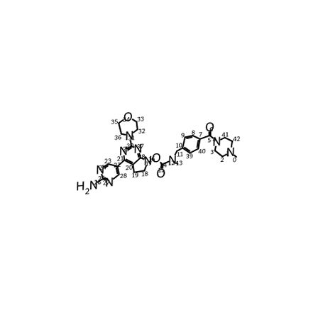 CN1CCN(C(=O)c2ccc(CN(C)C(=O)ON3CCc4c(-c5cnc(N)nc5)nc(N5CCOCC5)nc43)cc2)CC1